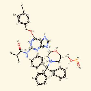 Cc1ccc(COc2nc(NC(=O)C(C)C)nc3c2ncn3[C@H]2CN(C(c3ccccc3)(c3ccccc3)c3ccccc3)C[C@@H](COP=O)O2)cc1